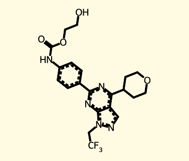 O=C(Nc1ccc(-c2nc(C3CCOCC3)c3cnn(CC(F)(F)F)c3n2)cc1)OCCO